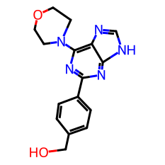 OCc1ccc(-c2nc(N3CCOCC3)c3nc[nH]c3n2)cc1